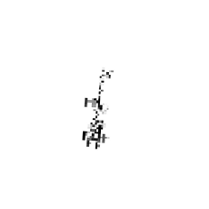 CSC(C)CCCCCCNC(=O)CCCC(=O)Oc1c(F)c(F)c(F)c(F)c1F